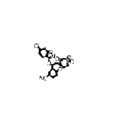 N#CC1=CC2C(C=C1)OC1(CCS(=O)(=O)CC1)[C@@H](O)[C@@H]2Oc1noc2cc(Cl)ccc12